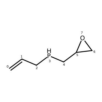 C=CCPCC1CO1